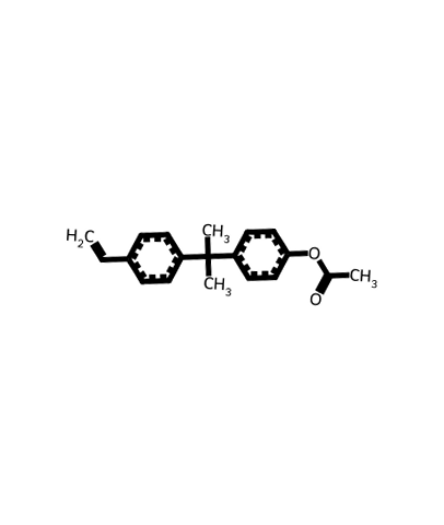 C=Cc1ccc(C(C)(C)c2ccc(OC(C)=O)cc2)cc1